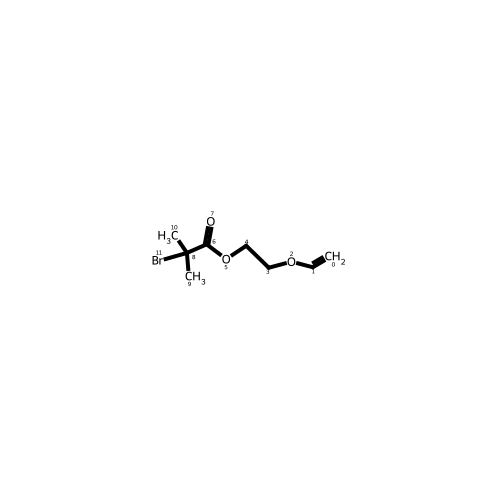 C=COCCOC(=O)C(C)(C)Br